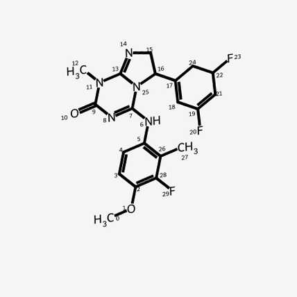 COc1ccc(NC2=NC(=O)N(C)C3=NCC(C4=CC(F)=CC(F)C4)N23)c(C)c1F